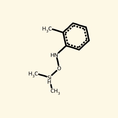 Cc1ccccc1NO[SiH](C)C